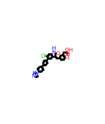 COc1ccc(C=C2C(=O)Nc3cc(Cl)c(-c4ccc(-c5ccc(-n6ccnn6)cc5)cc4)cc32)cc1CC(=O)O